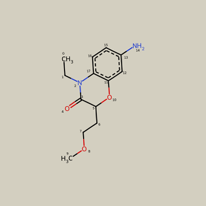 CCN1C(=O)C(CCOC)Oc2cc(N)ccc21